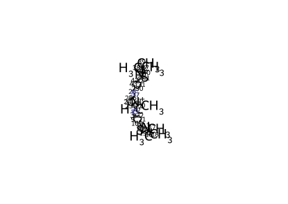 CC(C)C[n+]1c(/C=C/c2ccc(-c3nc(C(C)(C)C)cs3)cc2)cccc1/C=C/c1ccc(-c2nc(C(C)(C)C)cs2)cc1